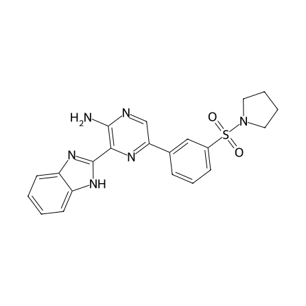 Nc1ncc(-c2cccc(S(=O)(=O)N3CCCC3)c2)nc1-c1nc2ccccc2[nH]1